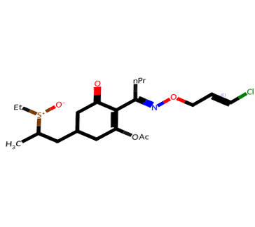 CCCC(=NOC/C=C/Cl)C1=C(OC(C)=O)CC(CC(C)[S+]([O-])CC)CC1=O